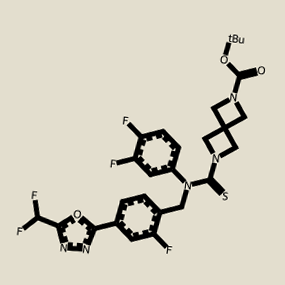 CC(C)(C)OC(=O)N1CC2(C1)CN(C(=S)N(Cc1ccc(-c3nnc(C(F)F)o3)cc1F)c1ccc(F)c(F)c1)C2